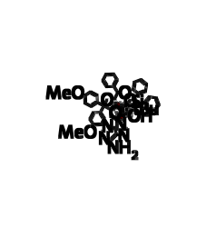 COc1ccc(C(OC(C(=O)c2ccccc2)[C@H]2O[C@@H](n3cnc4c(N)ncnc43)[C@H](O)[C@@H]2O[Si](c2ccccc2)(c2ccccc2)C(C)(C)C)(c2ccccc2)c2ccc(OC)cc2)cc1